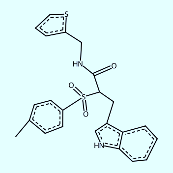 Cc1ccc(S(=O)(=O)C(Cc2c[nH]c3ccccc23)C(=O)NCc2cccs2)cc1